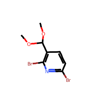 COC(OC)c1ccc(Br)nc1Br